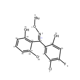 CC(C)(C)O/N=C(/c1cc(Cl)c(F)cc1O)c1c(O)ccc[n+]1[O-]